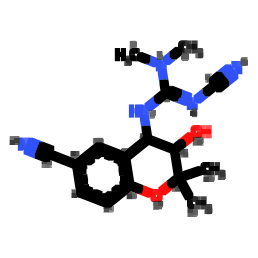 CN(C)C(=NC#N)NC1c2cc(C#N)ccc2OC(C)(C)C1O